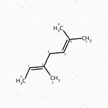 C/C=C(\C)CC=C(C)C